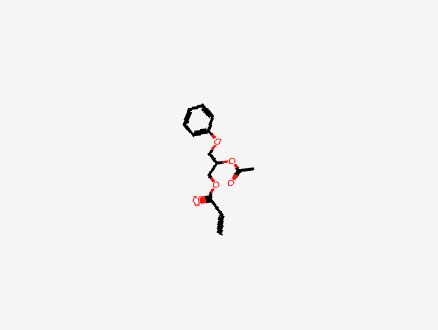 C=CC(=O)OCC(COc1ccccc1)OC(C)=O